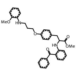 COC(=O)C(Cc1ccc(OCCCNc2ccccc2OC)cc1)Nc1ccccc1C(=O)c1ccccc1